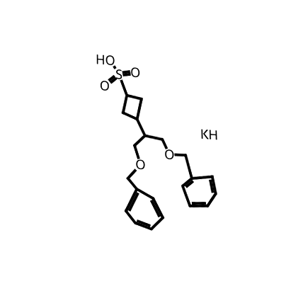 O=S(=O)(O)C1CC(C(COCc2ccccc2)COCc2ccccc2)C1.[KH]